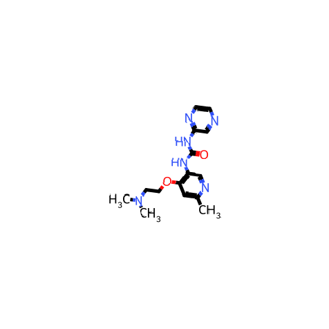 Cc1cc(OCCN(C)C)c(NC(=O)Nc2cnccn2)cn1